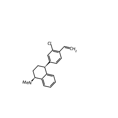 C=Cc1ccc([C@@H]2CC[C@H](NC)c3ccccc32)cc1Cl